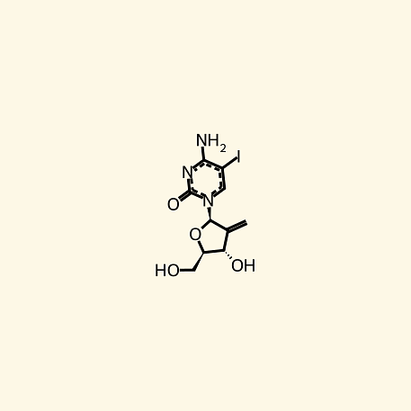 C=C1[C@H](n2cc(I)c(N)nc2=O)O[C@H](CO)[C@H]1O